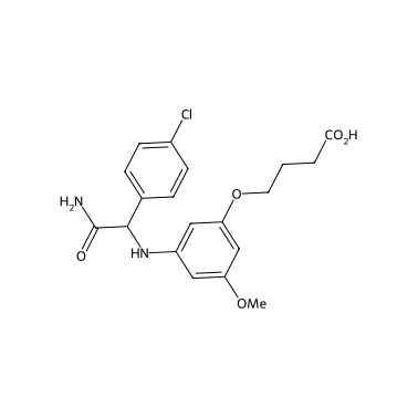 COc1cc(NC(C(N)=O)c2ccc(Cl)cc2)cc(OCCCC(=O)O)c1